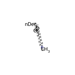 C/C=C/CCCCCCCCCCC(=O)OC=CCCCCCCCCCC